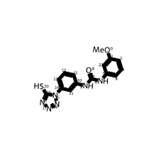 COc1cccc(NC(=O)Nc2cccc(-n3nnnc3S)c2)c1